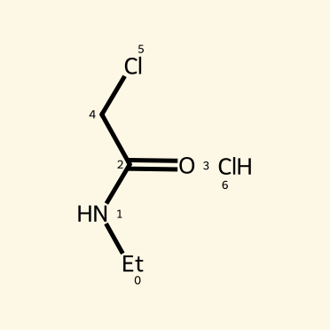 CCNC(=O)CCl.Cl